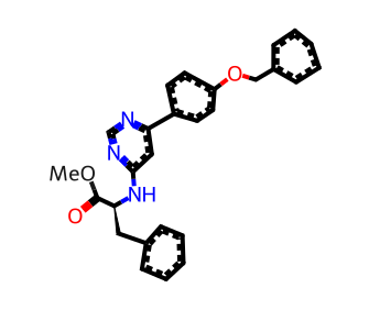 COC(=O)[C@H](Cc1ccccc1)Nc1cc(-c2ccc(OCc3ccccc3)cc2)ncn1